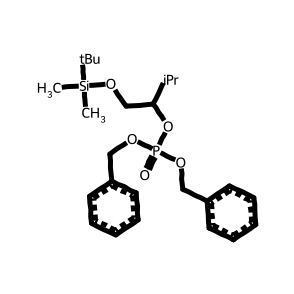 CC(C)C(CO[Si](C)(C)C(C)(C)C)OP(=O)(OCc1ccccc1)OCc1ccccc1